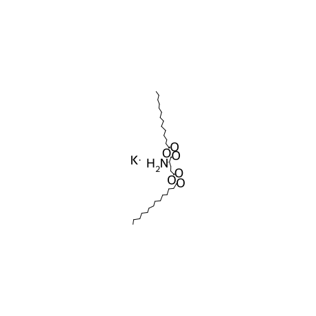 CCCCCCCCCCCCCC(=O)OC(=O)CC[C@H](N)C(=O)OC(=O)CCCCCCCCCCCCC.[K]